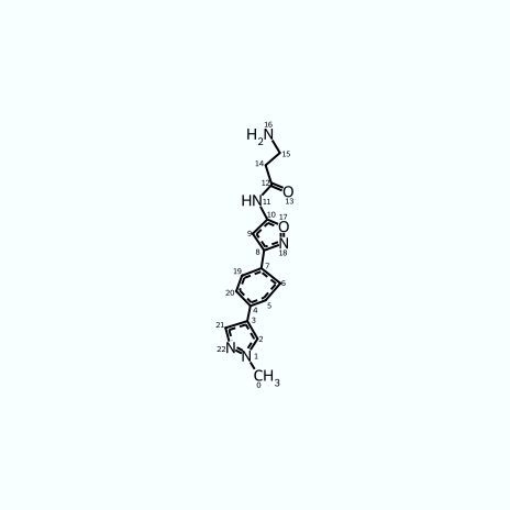 Cn1cc(-c2ccc(-c3cc(NC(=O)CCN)on3)cc2)cn1